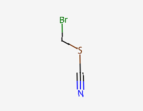 N#CSCBr